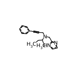 CCC(C)N(CC#Cc1ccccc1)Cc1ncc[nH]1